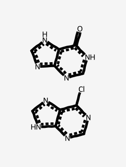 Clc1ncnc2[nH]cnc12.O=c1[nH]cnc2nc[nH]c12